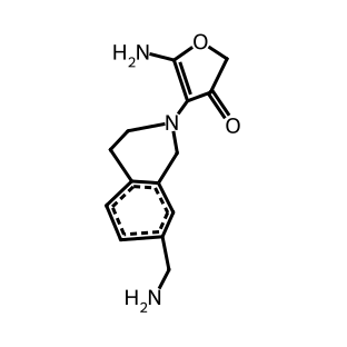 NCc1ccc2c(c1)CN(C1=C(N)OCC1=O)CC2